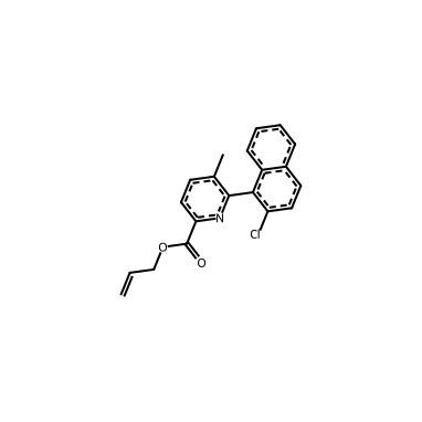 C=CCOC(=O)c1ccc(C)c(-c2c(Cl)ccc3ccccc23)n1